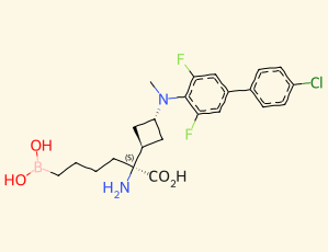 CN(c1c(F)cc(-c2ccc(Cl)cc2)cc1F)[C@H]1C[C@H]([C@@](N)(CCCCB(O)O)C(=O)O)C1